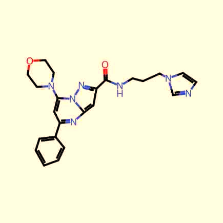 O=C(NCCCn1ccnc1)c1cc2nc(-c3ccccc3)cc(N3CCOCC3)n2n1